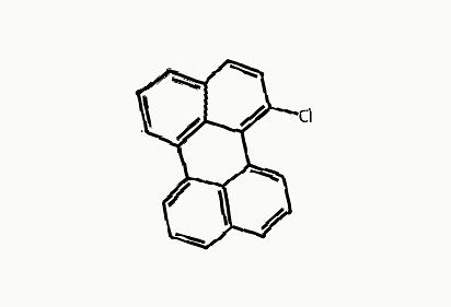 Clc1ccc2cc[c]c3c4cccc5cccc(c1c23)c54